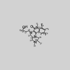 Cc1c(F)cc2c3c(c(=O)n(C)c2c1F)N(CCC(C)O)CC1CN(C)C(C)CN31